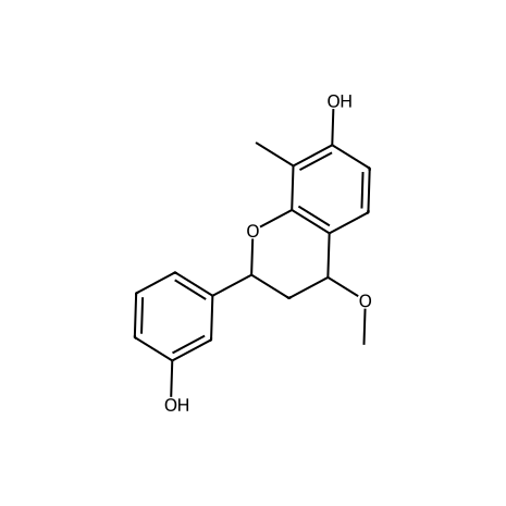 COC1CC(c2cccc(O)c2)Oc2c1ccc(O)c2C